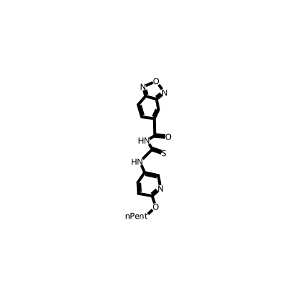 CCCCCOc1ccc(NC(=S)NC(=O)c2ccc3nonc3c2)cn1